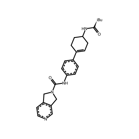 CC[C@H](C)C(=O)NC1CC=C(c2ccc(NC(=O)N3Cc4ccncc4C3)cc2)CC1